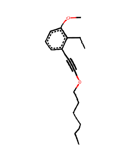 CCCCCCOC#Cc1cccc(OC)c1CC